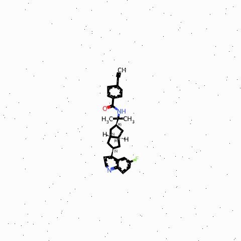 C#Cc1ccc(C(=O)NC(C)(C)[C@H]2C[C@H]3C[C@@H](c4ccnc5ccc(F)cc45)C[C@H]3C2)cc1